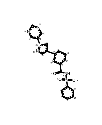 O=C(NS(=O)(=O)c1ccccc1)c1cccc(-c2cnn(-c3cncnc3)c2)n1